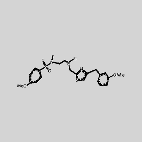 CCN(CCN(C)S(=O)(=O)c1ccc(OC)cc1)Cc1nc(Cc2cccc(OC)c2)cs1